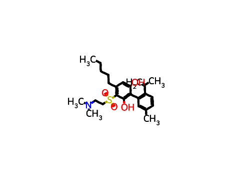 C=C(C)c1ccc(C)cc1-c1c(O)cc(CCCCC)c(S(=O)(=O)CCN(C)C)c1O